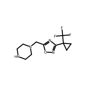 FC(F)(F)C1(c2noc(CN3CCNCC3)n2)CC1